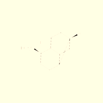 CCOC(=O)[C@@H]1CCC2C3C[C@H]2CC[C@@H]31